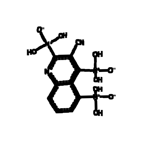 N#Cc1c([N+]([O-])(O)O)nc2cccc([N+]([O-])(O)O)c2c1[N+]([O-])(O)O